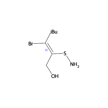 CCC(C)/C(Br)=C(/CO)SN